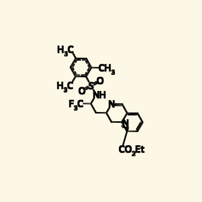 CCOC(=O)C1=C2C=CC=C3C=NC(CC(NS(=O)(=O)c4c(C)cc(C)cc4C)C(F)(F)F)CC32N=C1